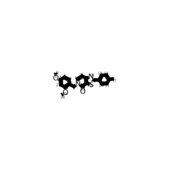 COc1ccc(Cn2ccc3nc(-c4ccc(C)cc4)sc3c2=O)c(OC)c1